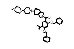 C=C(C)c1cc(C(=O)N2Cc3ccc(N4CCC(N5CCN(C)CC5)CC4)cc3C2)c(OCc2ccccc2)cc1OCc1ccccc1